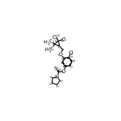 CC1(C)C(COc2cc(OC(=S)N3CCCC3)ccc2Cl)C1(Cl)Cl